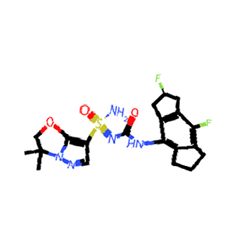 CC1(C)COc2c([S@@](N)(=O)=NC(=O)Nc3c4c(c(F)c5c3C[C@@H](F)C5)CCC4)cnn21